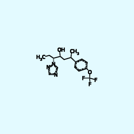 CCC(C(O)CC(C)c1ccc(OC(F)(F)F)cc1)n1cncn1